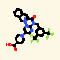 O=C(O)C1CCN(c2cnc(N(Cc3cc(C(F)(F)F)cc(C(F)(F)F)c3)C(=O)C3=Cc4ccccc4CN3)nc2)CC1